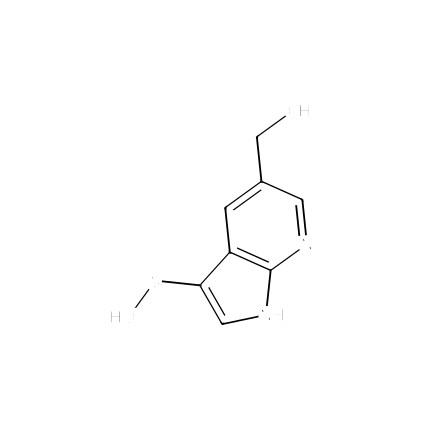 CCc1cnc2[nH]cc(SO)c2c1